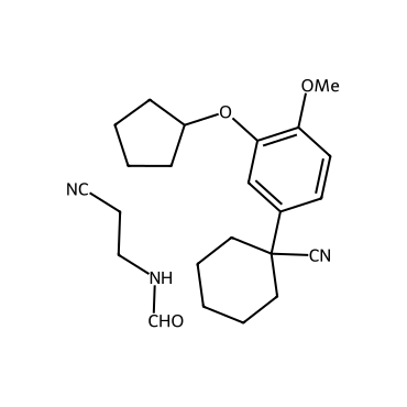 COc1ccc(C2(C#N)CCCCC2)cc1OC1CCCC1.N#CCCNC=O